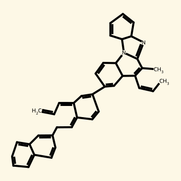 C=C/C=c1/cc(C2=CC3C(/C=C\C)=C(C)C4=NC5C=CC=CC5N4C3C=C2)cc/c1=C/Cc1ccc2ccccc2c1